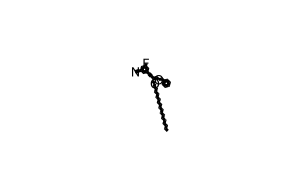 CCCCCCCCCCCCCCCCCCOC[C@@H](C#Cc1cc(F)cc(C#N)c1)COCc1ccccc1